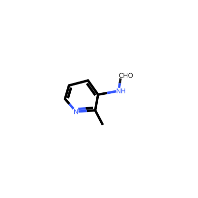 Cc1ncccc1NC=O